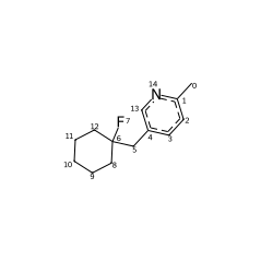 Cc1ccc(CC2(F)CCCCC2)cn1